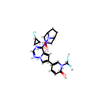 O=C([C@@H]1C[C@H]1F)N1C2CCC1CN(c1ncnn3cc(-c4ccc(=O)n(C(F)F)c4)cc13)C2